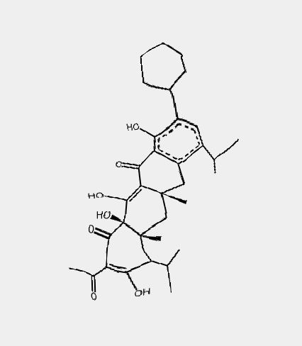 CC(=O)C1=C(O)C(C(C)C)[C@@]2(C)C[C@@]3(C)Cc4c(C(C)C)cc(C5CCCCC5)c(O)c4C(=O)C3=C(O)[C@@]2(O)C1=O